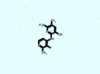 Cc1cc(C#N)c(Nc2ccnc(C)c2F)nc1N